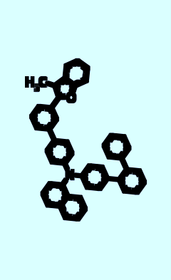 Cc1c(-c2cccc(-c3ccc(N(c4ccc(-c5ccccc5-c5ccccc5)cc4)c4cccc5ccccc45)cc3)c2)oc2ccccc12